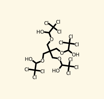 OC(OCC(COC(O)C(Cl)(Cl)Cl)(COC(O)C(Cl)(Cl)Cl)COC(O)C(Cl)(Cl)Cl)C(Cl)(Cl)Cl